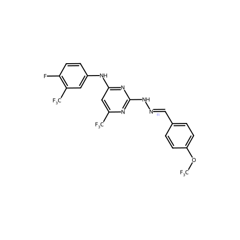 Fc1ccc(Nc2cc(C(F)(F)F)nc(N/N=C/c3ccc(OC(F)(F)F)cc3)n2)cc1C(F)(F)F